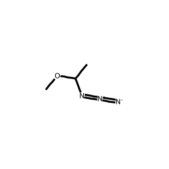 COC(C)N=[N+]=[N-]